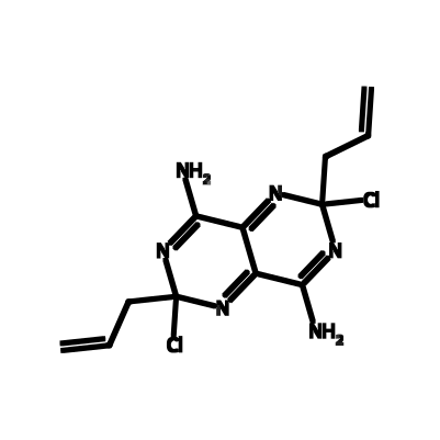 C=CCC1(Cl)N=C(N)C2=NC(Cl)(CC=C)N=C(N)C2=N1